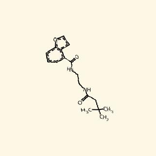 CC(C)(C)CC(=O)NCCNC(=O)c1cccc2occc12